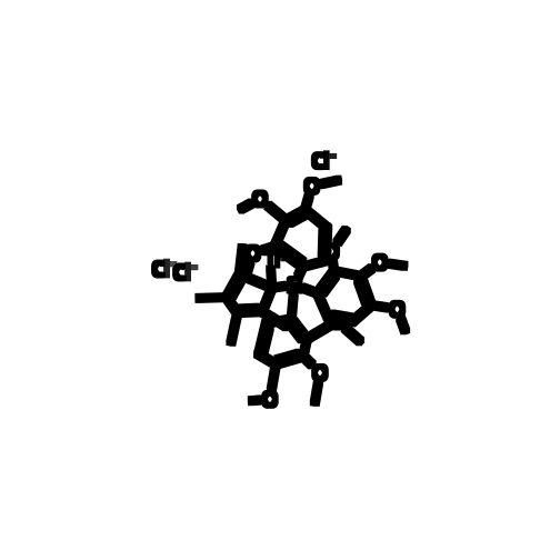 COc1ccc([Si](c2ccc(OC)c(OC)c2OC)(c2ccc(OC)c(OC)c2OC)[C]2([Ti+3])C(C)=C(C)C(C)=C2C)c(OC)c1OC.[Cl-].[Cl-].[Cl-]